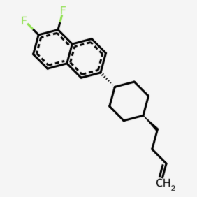 C=CCC[C@H]1CC[C@H](c2ccc3c(F)c(F)ccc3c2)CC1